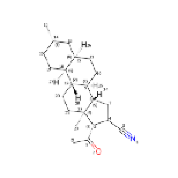 CC(=O)[C@H]1C(C#N)C[C@H]2[C@@H]3CC[C@@H]4C[C@@H](C)CC[C@@H]4[C@H]3CC[C@]12C